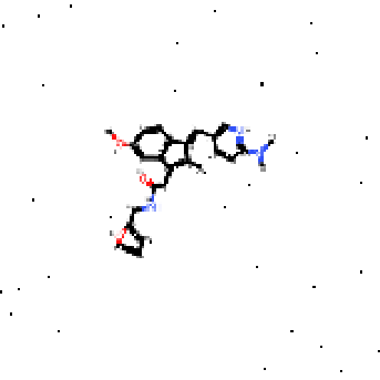 COc1ccc2c(c1)C(CC(=O)NCc1ccco1)=C(C)C2=Cc1ccc(N(C)C)nc1